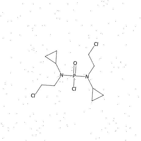 O=P(Cl)(N(CCCl)C1CC1)N(CCCl)C1CC1